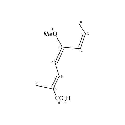 C\C=C/C(=C\C=C(/C)C(=O)O)OC